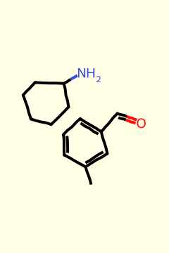 Cc1cccc(C=O)c1.NC1CCCCC1